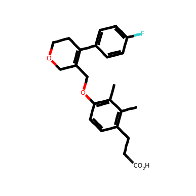 Cc1c(CCC(=O)O)ccc(OCC2=C(c3ccc(F)cc3)CCOC2)c1C